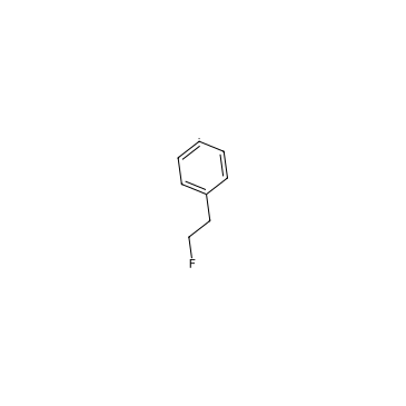 FCCc1cc[c]cc1